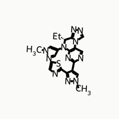 CC[C@@H]1c2nncn2-c2cnc(-c3cn(C)nc3-c3nccs3)nc2N1c1cnn(C)c1